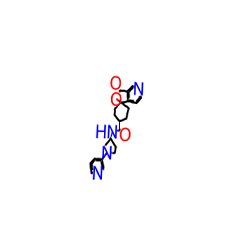 O=C1O[C@]2(CC[C@H](C(=O)N[C@H]3CCN(c4cccnc4)C3)CC2)c2ccncc21